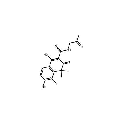 CC(=O)CNC(=O)C1=C(O)c2ccc(O)c(F)c2C(C)(C)C1=O